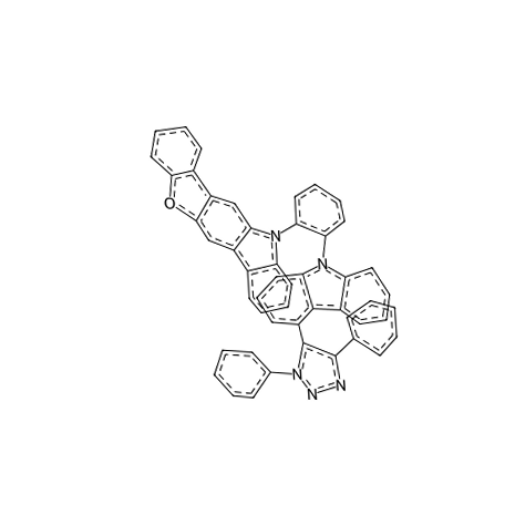 c1ccc(-c2nnn(-c3ccccc3)c2-c2cccc3c2c2ccccc2n3-c2ccccc2-n2c3ccccc3c3cc4oc5ccccc5c4cc32)cc1